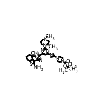 C[C@H]1CN(C)CCCN1c1nc(-c2noc([C@@]3(C)CCCc4sc(N)c(C#N)c43)n2)cc(N2CC(N3CCN(C(=O)OC(C)(C)C)CC3)C2)n1